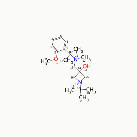 COc1ccccc1C(C)(C)N(C)CC1(O)CN(C(C)(C)C)C1